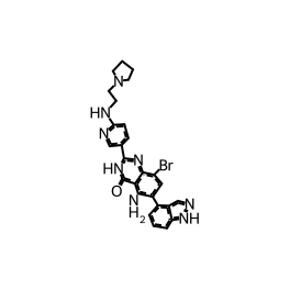 Nc1c(-c2cccc3[nH]ncc23)cc(Br)c2nc(-c3ccc(NCCN4CCCC4)nc3)[nH]c(=O)c12